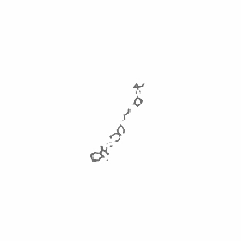 Cn1cc(S(=O)(=O)N2CCC3(CC2)C[C@@H](NC[C@H](O)COc2cccc(S(=O)(=O)C4(CO)CC4)c2)CO3)c(=O)c2ccccc21